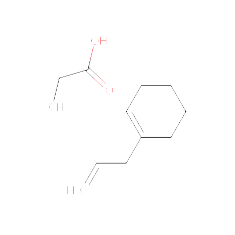 C=CCC1=CCCCC1.CCC(=O)O